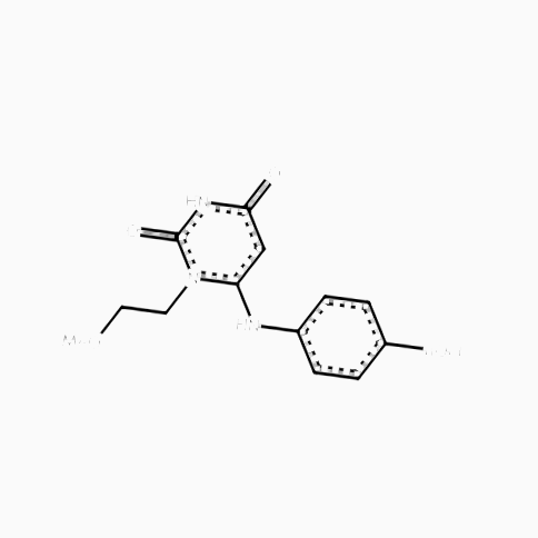 CCCCCCCCc1ccc(Nc2cc(=O)[nH]c(=O)n2CCOC)cc1